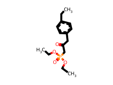 CCOP(=O)(CC(=O)Cc1ccc(CC)cc1)OCC